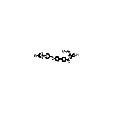 CCc1cnc(N2CCC(COc3ccc(C4=CCC(C(=O)N5CC(=NOC)C6(CNC6)C5)CC4)cc3)CC2)nc1